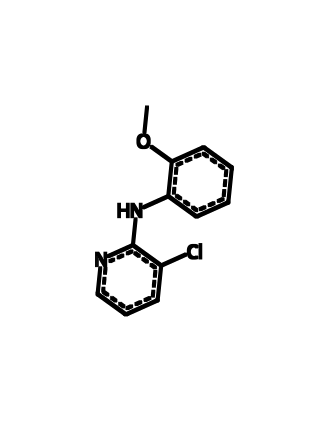 COc1ccccc1Nc1ncccc1Cl